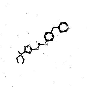 CCC(C)(CC)c1cc(NC(=O)Nc2ccc(Cc3ccncc3)cc2)on1